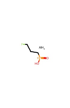 O=[PH](O)CCCF.[AlH3]